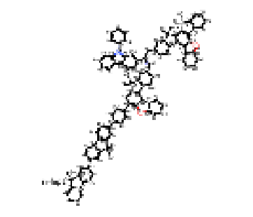 CCCCCCCC1(CCCCCCC)C2=CCCC=C2c2ccc(-c3ccc4c(c3)C(C)(C)c3cc(-c5ccc(C6=C7Oc8ccccc8C7C7C(=C6)C(C)(C)c6cc(/C=C(/Cc8ccc9c(c8)C(C)(C)c8c%10c(c%11oc%12ccccc%12c%11c8-9)-c8ccccc8C%10(C)C)c8ccc9c%10ccccc%10n(-c%10ccccc%10)c9c8)ccc67)cc5)ccc3-4)cc21